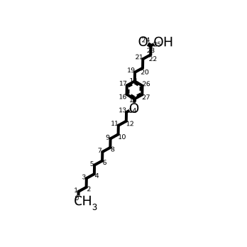 CCCCCCCCCCCCCCOc1ccc(CCCCC(=O)O)cc1